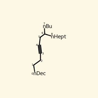 [CH2]CCCCCCCCCCCC#CCC(CCCC)CCCCCC[CH2]